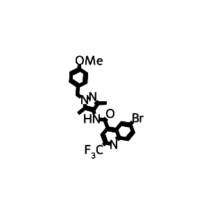 COc1ccc(Cn2nc(C)c(NC(=O)c3cc(C(F)(F)F)nc4ccc(Br)cc34)c2C)cc1